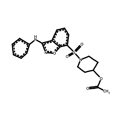 CC(=O)OC1CCN(S(=O)(=O)c2cccc3c(Nc4ccccc4)noc23)CC1